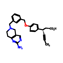 CC#C[C@@H](CC(=O)O)c1ccc(OCc2cccc(CN3CCc4nc(N)ncc4C3)c2)cc1